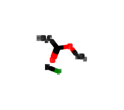 O=C(O)C(=O)O[N+](=O)[O-].[F][K]